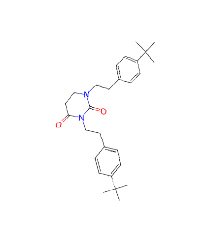 CC(C)(C)c1ccc(CCN2CCC(=O)N(CCc3ccc(C(C)(C)C)cc3)C2=O)cc1